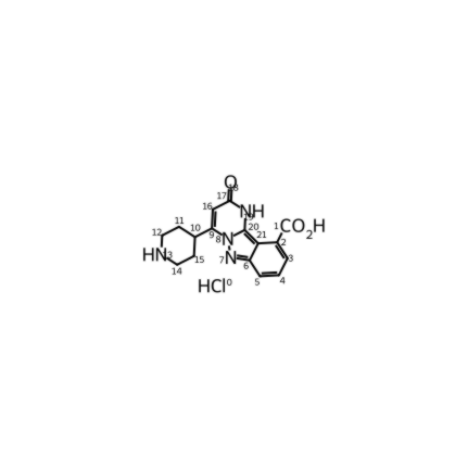 Cl.O=C(O)c1cccc2nn3c(C4CCNCC4)cc(=O)[nH]c3c12